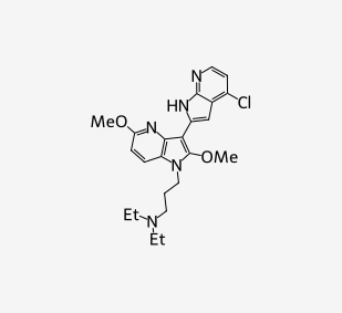 CCN(CC)CCCn1c(OC)c(-c2cc3c(Cl)ccnc3[nH]2)c2nc(OC)ccc21